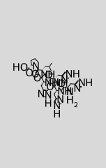 CC(C)C[C@H](NC(=O)[C@H](Cc1c[nH]cn1)NC(=O)[C@H](Cc1c[nH]cn1)NC(=O)[C@H](Cc1c[nH]cn1)NC(=O)[C@@H](N)Cc1c[nH]cn1)C(=O)N1CCC[C@H]1C(=O)O